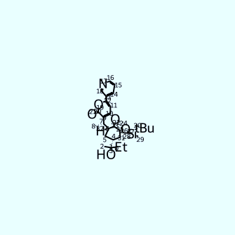 CCC(C)(O)[C@@H]1C[C@@H]2[C@H](C)c3c(cc(-c4cccnc4)oc3=O)O[C@@]2(C)[C@H](O[Si](C)(C)C(C)(C)C)C1